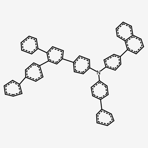 c1ccc(-c2ccc(-c3cc(-c4ccc(N(c5ccc(-c6ccccc6)cc5)c5ccc(-c6cccc7ccccc67)cc5)cc4)ccc3-c3ccccc3)cc2)cc1